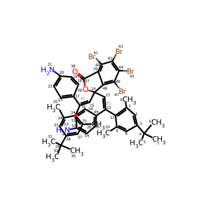 Cc1cc(C(C)(C)C)cc(C)c1/C(=C/C1(/C=C(\c2ccc(N)cc2)c2c(C)cc(C(C)(C)C)cc2C)OC(=O)c2c(Br)c(Br)c(Br)c(Br)c21)c1ccc(N)cc1